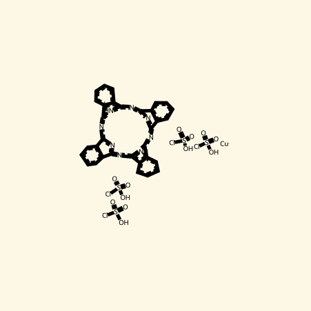 O=S(=O)(O)Cl.O=S(=O)(O)Cl.O=S(=O)(O)Cl.O=S(=O)(O)Cl.[Cu].c1ccc2c(c1)-c1nc-2nc2[nH]c(nc3nc(nc4[nH]c(n1)c1ccccc41)-c1ccccc1-3)c1ccccc21